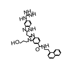 N=C(N)Nc1ccc2[nH]c(Cc3nc4ccc(C(=O)NCCc5cccc6ccccc56)cc4n3CCCO)nc2c1